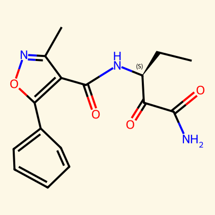 CC[C@H](NC(=O)c1c(C)noc1-c1ccccc1)C(=O)C(N)=O